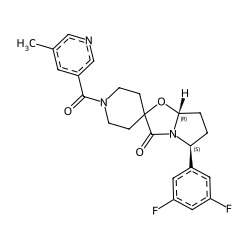 Cc1cncc(C(=O)N2CCC3(CC2)O[C@@H]2CC[C@@H](c4cc(F)cc(F)c4)N2C3=O)c1